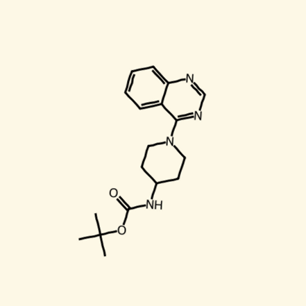 CC(C)(C)OC(=O)NC1CCN(c2ncnc3ccccc23)CC1